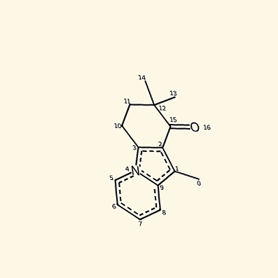 Cc1c2c(n3ccccc13)CCC(C)(C)C2=O